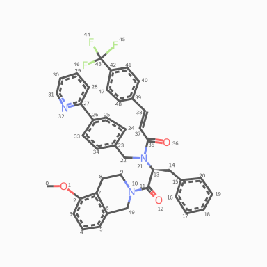 COc1cccc2c1CCN(C(=O)[C@H](Cc1ccccc1)N(Cc1ccc(-c3ccccn3)cc1)C(=O)C=Cc1ccc(C(F)(F)F)cc1)C2